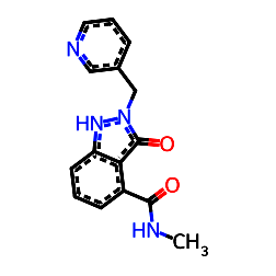 CNC(=O)c1cccc2[nH]n(Cc3cccnc3)c(=O)c12